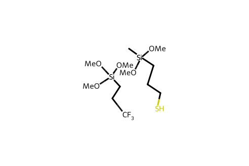 CO[Si](C)(CCCS)OC.CO[Si](CCC(F)(F)F)(OC)OC